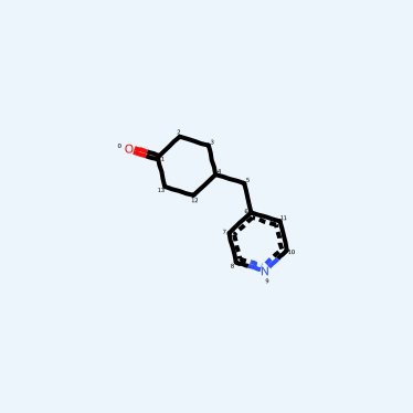 O=C1CCC(Cc2ccncc2)CC1